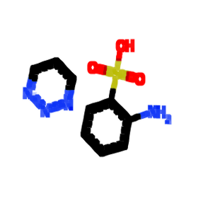 Nc1ccccc1S(=O)(=O)O.c1cnnnc1